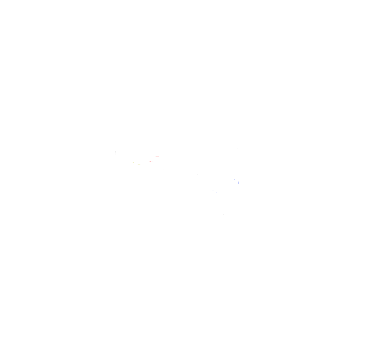 Cn1nc(C=O)cc1COS(C)=O